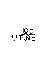 CC#CC(O)C(N)C(=O)O